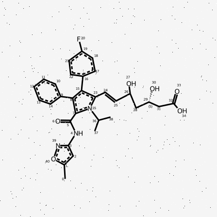 Cc1cc(NC(=O)c2c(-c3ccccc3)c(-c3ccc(F)cc3)c(C=CC(O)C[C@H](O)CC(=O)O)n2C(C)C)no1